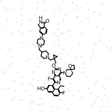 CCc1c(F)ccc2cc(O)cc(-c3ncc4c(N5CCC[C@@]6(CCO6)C5)nc(OCC5(CN6CCC(CN7CCN(c8ccc9c(c8)CNC9=O)CC7)CC6)CC5)nc4c3F)c12